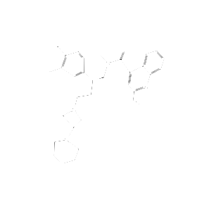 CN(C[C@@H](CCN1CC(N2CCSCC2)C1)c1ccc(Cl)c(Cl)c1)C(=O)c1cc(C#N)nc2ccccc12